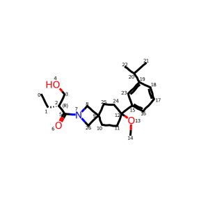 CC[C@H](CO)C(=O)N1CC2(CCC(OC)(c3cccc(C(C)C)c3)CC2)C1